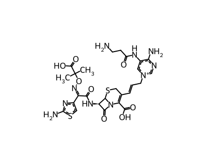 CC(C)(O/N=C(\C(=O)N[C@@H]1C(=O)N2C(C(=O)O)=C(/C=C/C[n+]3cnc(N)c(NC(=O)CCN)c3)CSC12)c1csc(N)n1)C(=O)O